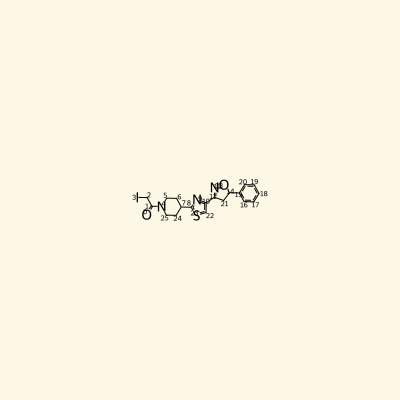 O=C(CI)N1CCC(c2nc(C3=NOC(c4ccccc4)C3)cs2)CC1